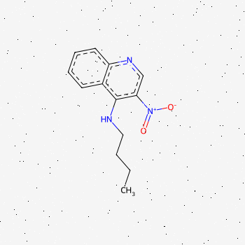 CCCCNc1c([N+](=O)[O-])cnc2ccccc12